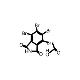 CC(=O)O.O=C1NC(=O)c2c(Br)c(Br)c(Br)c(Br)c21